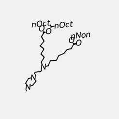 CCCCCCCCCOC(=O)CCCCCCCN(CCCCCCCC(=O)OC(CCCCCCCC)CCCCCCCC)CCN1CCN(C)CC1